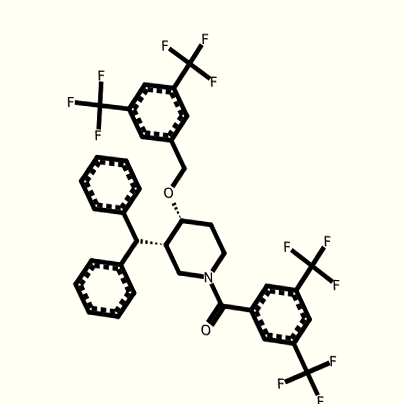 O=C(c1cc(C(F)(F)F)cc(C(F)(F)F)c1)N1CC[C@@H](OCc2cc(C(F)(F)F)cc(C(F)(F)F)c2)[C@@H](C(c2ccccc2)c2ccccc2)C1